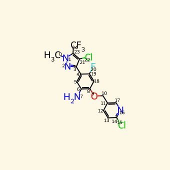 Cn1nc(-c2cc(N)c(OCc3ccc(Cl)nc3)cc2F)c(Cl)c1C(F)(F)F